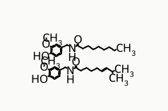 CCCCCCCCC(=O)NCc1ccc(O)c(OC)c1.COc1cc(CNC(=O)CCCCC=CC(C)C)ccc1O